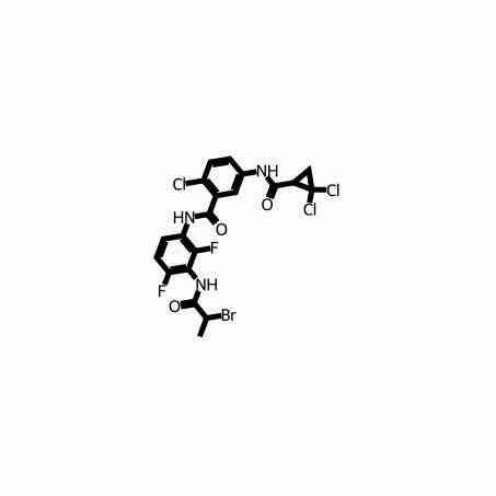 CC(Br)C(=O)Nc1c(F)ccc(NC(=O)c2cc(NC(=O)C3CC3(Cl)Cl)ccc2Cl)c1F